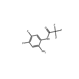 Nc1cc(F)c(F)cc1NC(=O)C(F)(F)F